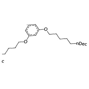 CCCCCCCCCCCCCCCOc1c[c]cc(OCCCCCCCCCCCCCCC)c1